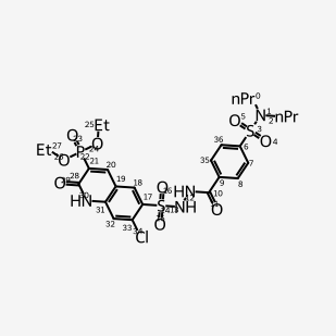 CCCN(CCC)S(=O)(=O)c1ccc(C(=O)NNS(=O)(=O)c2cc3cc(P(=O)(OCC)OCC)c(=O)[nH]c3cc2Cl)cc1